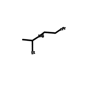 CCCC[CH2][Mg][CH](C)CC